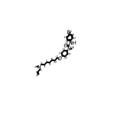 C=CCN(C)CCCCCCCOC1CCC(N(C)C(=O)Nc2ccc(Br)cc2)CC1